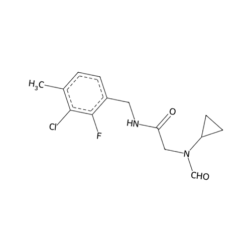 Cc1ccc(CNC(=O)CN(C=O)C2CC2)c(F)c1Cl